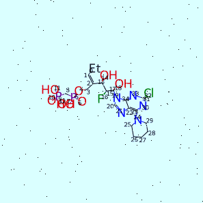 CC/C=C(/COP(=O)(O)CP(=O)(O)O)[C@@H](O)[C@H](F)[C@@H](O)n1cnc2c(N3CCCCC3)nc(Cl)nc21